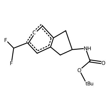 CC(C)(C)OC(=O)NC1Cc2ccc(C(F)F)cc2C1